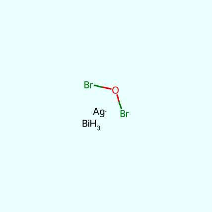 BrOBr.[Ag].[BiH3]